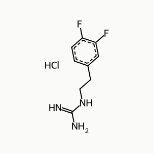 Cl.N=C(N)NCCc1ccc(F)c(F)c1